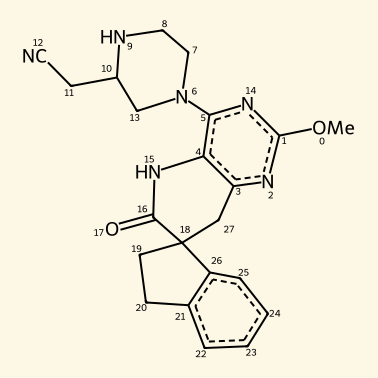 COc1nc2c(c(N3CCNC(CC#N)C3)n1)NC(=O)C1(CCc3ccccc31)C2